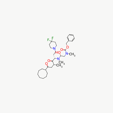 CC(CC(=O)C1CCCCCCC1)C(=O)[C@H](CCN1CCC(F)(F)CC1)N(C)C(O)CN(C)C(=O)OCc1ccccc1